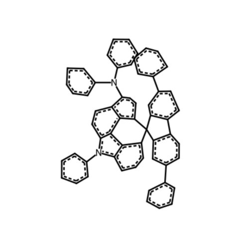 c1ccc(-c2ccc3c(c2)C2(c4cc(-c5ccccc5)ccc4-3)c3ccc(N(c4ccccc4)c4ccccc4)c4ccc5c(c34)c3c2cccc3n5-c2ccccc2)cc1